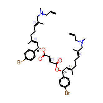 C=CCN(C)C/C(C)=C/CC/C(C)=C/[C@H](OC(=O)/C=C/C(=O)O[C@@H](/C=C(\C)CC/C=C(\C)CN(C)CC=C)c1ccc(Br)cc1)c1ccc(Br)cc1